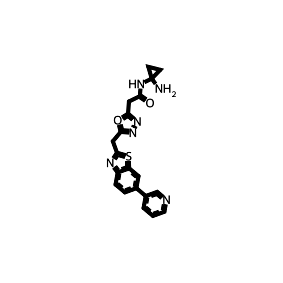 NC1(NC(=O)Cc2nnc(Cc3nc4ccc(-c5cccnc5)cc4s3)o2)CC1